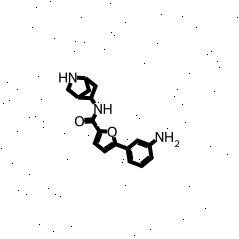 Nc1cccc(-c2ccc(C(=O)NC3CC4CC3CN4)o2)c1